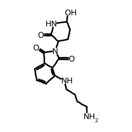 NCCCCNc1cccc2c1C(=O)N(C1CCC(O)NC1=O)C2=O